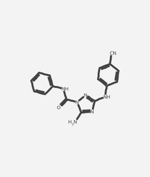 N#Cc1ccc(Nc2nc(N)n(C(=O)Nc3ccccc3)n2)cc1